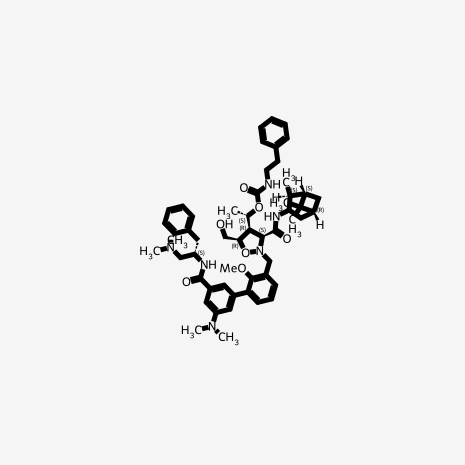 COc1c(CN2O[C@@H](CO)[C@@H]([C@H](C)OC(=O)NCCc3ccccc3)[C@H]2C(=O)NC2C[C@H]3C[C@@H]([C@@H]2C)C3(C)C)cccc1-c1cc(C(=O)N[C@@H](Cc2ccccc2)CN(C)C)cc(N(C)C)c1